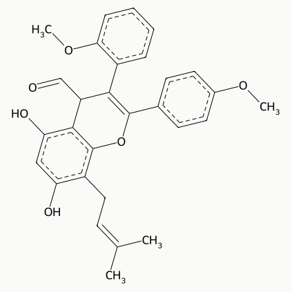 COc1ccc(C2=C(c3ccccc3OC)C(C=O)c3c(O)cc(O)c(CC=C(C)C)c3O2)cc1